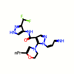 CCCC1=CN(c2c(C(=O)Nc3c[nH]nc3C(F)F)cnn2/C=C\C=N)CCO1